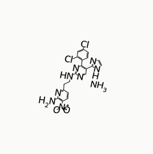 N.Nc1nc(CCNc2ncc(-c3ncc[nH]3)c(-c3ccc(Cl)cc3Cl)n2)ccc1[N+](=O)[O-]